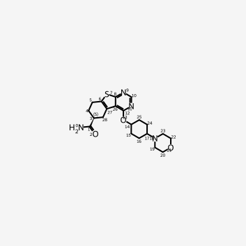 NC(=O)[C@H]1CCc2sc3ncnc(OC4CCC(N5CCOCC5)CC4)c3c2C1